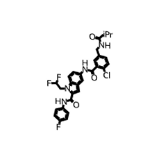 CC(C)C(=O)NCc1ccc(Cl)c(C(=O)Nc2ccc3c(c2)cc(C(=O)Nc2ccc(F)cc2)n3CC(F)F)c1